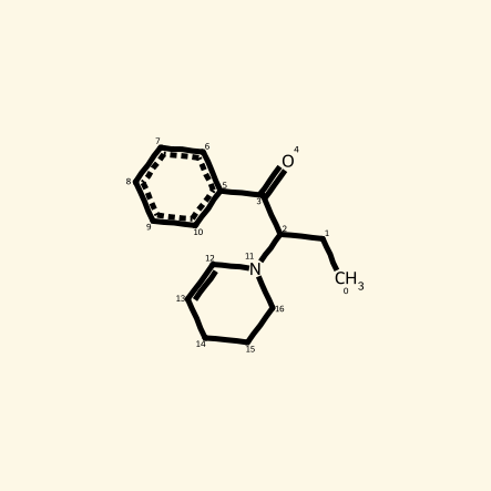 CCC(C(=O)c1ccccc1)N1C=CCCC1